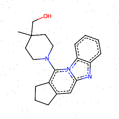 CC1(CO)CCN(c2c3c(cc4nc5ccccc5n24)CCC3)CC1